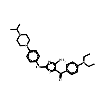 CCN(CC)c1ccc(C(=O)c2sc(Nc3ccc(N4CCN(C(C)C)CC4)cc3)nc2N)cc1